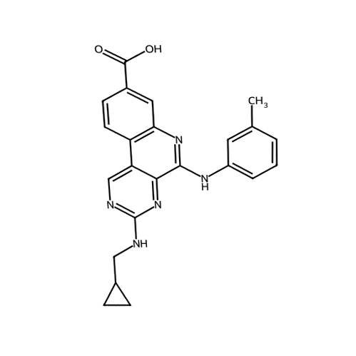 Cc1cccc(Nc2nc3cc(C(=O)O)ccc3c3cnc(NCC4CC4)nc23)c1